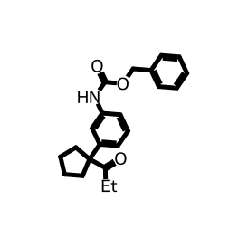 CCC(=O)C1(c2cccc(NC(=O)OCc3ccccc3)c2)CCCC1